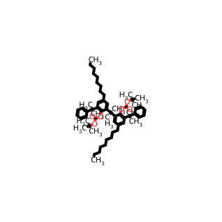 CCCCCCCCCc1cc(C(C)(C)c2ccccc2)c(OC(=O)OC(C)(C)C)c(C(C)(C)c2cc(CCCCCCCCC)cc(C(C)(C)c3ccccc3)c2OC(=O)OC(C)(C)C)c1